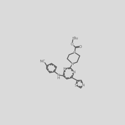 CC(C)(C)OC(=O)N1CCN(c2nc(Nc3ccc(C#N)cc3)cc(-c3cncs3)n2)CC1